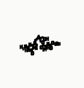 CC(C)[C@H](NC(=O)OC(C)(C)C)C(=O)OC[C@]1(CO)C/C1=C/n1cnc2c(=O)[nH]c(N)nc21